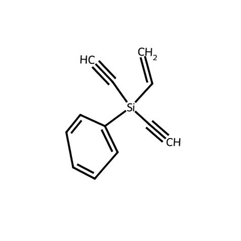 C#C[Si](C#C)(C=C)c1ccccc1